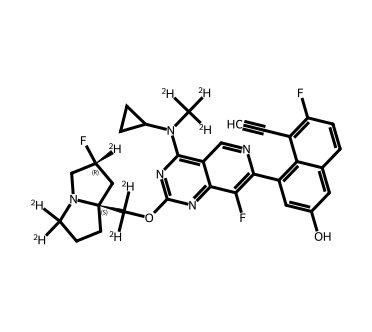 [2H]C([2H])([2H])N(c1nc(OC([2H])([2H])[C@@]23CCC([2H])([2H])N2C[C@]([2H])(F)C3)nc2c(F)c(-c3cc(O)cc4ccc(F)c(C#C)c34)ncc12)C1CC1